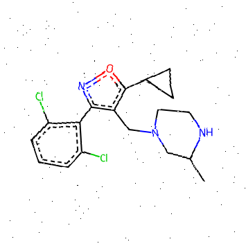 CC1CN(Cc2c(-c3c(Cl)cccc3Cl)noc2C2CC2)CCN1